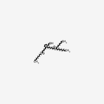 CCCCCCCCCOC(=O)CCCCC1CCCN(CCO)C1CCCCCC(=O)OC(CCCCCCCC)CCCCCCCC